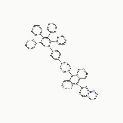 c1ccc(-c2cc(-c3ccc(-c4ccc(-c5c6ccccc6c(-c6ccc7cccnc7c6)c6ccccc56)cc4)cc3)c(-c3ccccc3)c(-c3ccccc3)c2-c2ccccc2)cc1